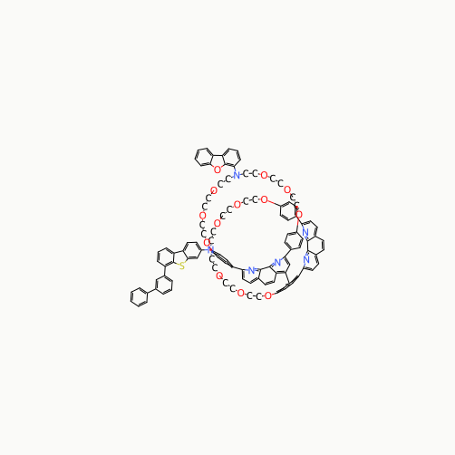 c1ccc(-c2cccc(-c3cccc4c3sc3cc(N5CCOCCOCCOc6ccc(cc6)-c6ccc7ccc8ccc(nc8c7n6)-c6ccc(cc6-c6cc7nc8c6ccc6ccc(nc68)-c6ccc(cc6)OCCOCCOCCN(c6cccc8c6oc6ccccc68)CCOCCOCCOc6ccc-7cc6)OCCOCCOCC5)ccc34)c2)cc1